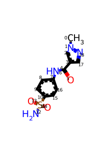 Cn1cc(C(=O)Nc2ccc(S(N)(=O)=O)cc2)cn1